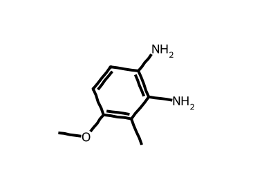 COc1ccc(N)c(N)c1C